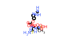 C[C@H]1C(NC(=O)/C(=N\OC(COc2ccc3c(NC4CNC4)nccc3c2)C(=O)O)c2csc(N)n2)C(=O)N1S(=O)(=O)O